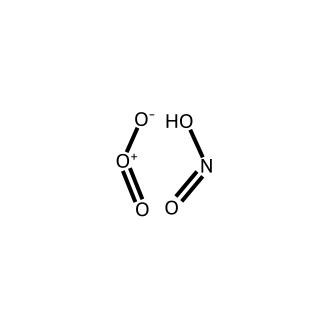 O=NO.O=[O+][O-]